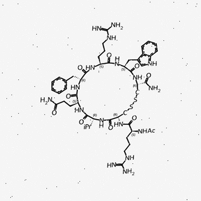 CC(=O)N[C@@H](CCCNC(=N)N)C(=O)N[C@H]1CSSC[C@@H](C(N)=O)NC(=O)[C@H](Cc2c[nH]c3ccccc23)NC(=O)[C@H](CCCNC(=N)N)NC(=O)[C@@H](Cc2ccccc2)NC(=O)[C@H](CCC(N)=O)NC(=O)[C@@H](C(C)C)NC1=O